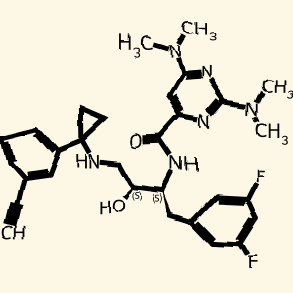 C#Cc1cccc(C2(NC[C@H](O)[C@H](Cc3cc(F)cc(F)c3)NC(=O)c3cc(N(C)C)nc(N(C)C)n3)CC2)c1